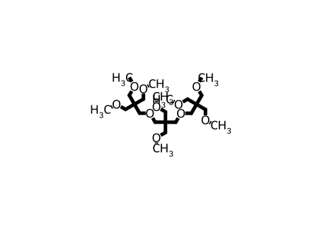 COCC(COC)(COC)COCC(COC)(COC)COCC(COC)(COC)COC